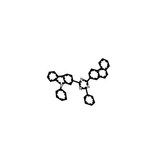 c1ccc(-c2nc(-c3ccc4c(ccc5ccccc54)c3)nc(-c3ccc4c5ccccc5n(-c5ccccc5)c4c3)n2)cc1